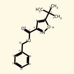 CC(C)(C)c1cc(C(=O)OCc2ccccc2)no1